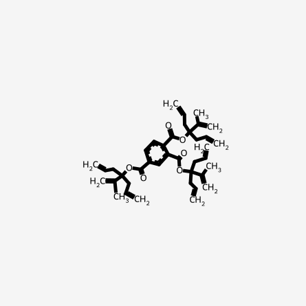 C=CCC(CC=C)(OC(=O)c1ccc(C(=O)OC(CC=C)(CC=C)C(=C)C)c(C(=O)OC(CC=C)(CC=C)C(=C)C)c1)C(=C)C